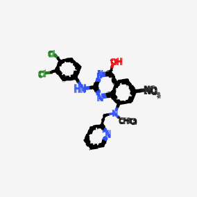 O=CN(Cc1ccccn1)c1cc([N+](=O)[O-])cc2c(O)nc(Nc3ccc(Cl)c(Cl)c3)nc12